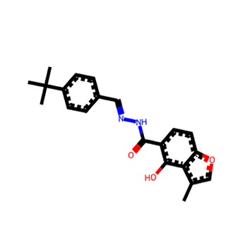 Cc1coc2ccc(C(=O)NN=Cc3ccc(C(C)(C)C)cc3)c(O)c12